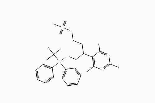 Cc1nc(Cl)c(C(CCOS(C)(=O)=O)CO[Si](c2ccccc2)(c2ccccc2)C(C)(C)C)c(Cl)n1